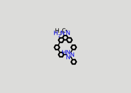 C/C=N\c1c(N)c2ccc(-c3cccc(-c4cccc(C5=NC(c6ccccc6)=NC(c6ccccc6)N5)c4)c3)cc2c2ccccc12